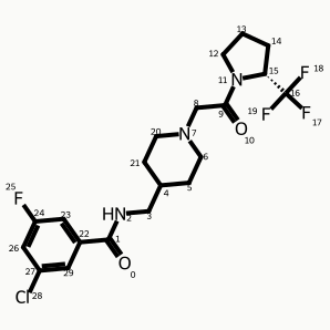 O=C(NCC1CCN(CC(=O)N2CCC[C@@H]2C(F)(F)F)CC1)c1cc(F)cc(Cl)c1